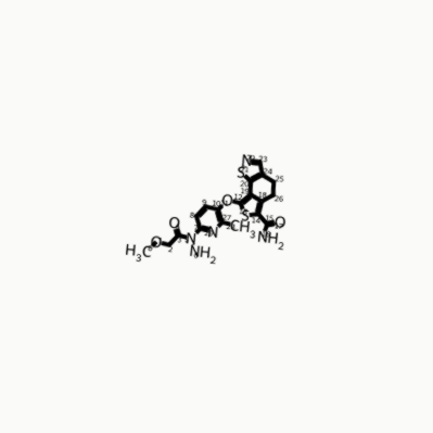 COCC(=O)N(N)c1ccc(Oc2sc(C(N)=O)c3c2-c2sncc2CC3)c(C)n1